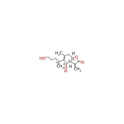 C=C1C(=O)O[C@@H]2CC(C)=C([C@@H](C)CCCO)[C@H](O)[C@H]12